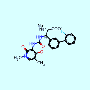 Cc1cn(C)c(=O)c(NC(=O)N[C@@H](CC(=O)[O-])c2cccc(-c3ccccc3F)c2)c1[O-].[Na+].[Na+]